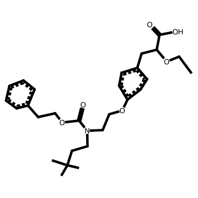 CCOC(Cc1ccc(OCCN(CCC(C)(C)C)C(=O)OCCc2ccccc2)cc1)C(=O)O